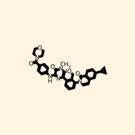 Cn1cc(-c2cccc(-n3ccc4cc(C5CC5)ccc4c3=O)c2CO)nc(Nc2ccc(C(=O)N3CCOCC3)cc2)c1=O